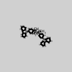 C[Si](C)(O[Si](C)(C)c1ccc(-n2c3ccccc3c3ccccc32)cc1)c1ccc(-n2c3ccccc3c3ccccc32)cc1